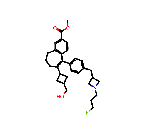 COC(=O)c1ccc2c(c1)CCCC(C1CC(CO)C1)=C2c1ccc(CC2CN(CCCF)C2)cc1